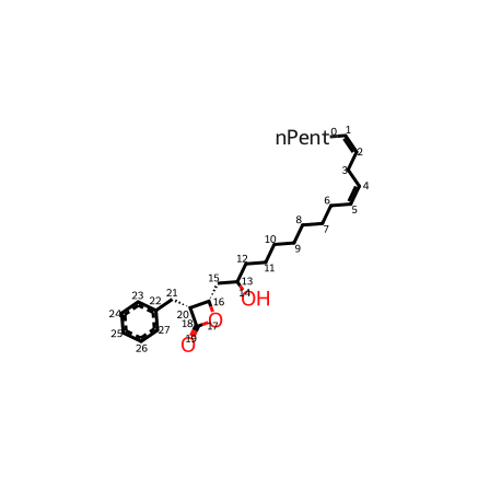 CCCCC/C=C\C/C=C\CCCCCCCC(O)C[C@@H]1OC(=O)[C@@H]1Cc1ccccc1